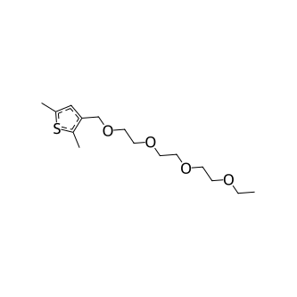 CCOCCOCCOCCOCc1cc(C)sc1C